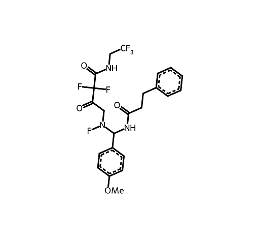 COc1ccc(C(NC(=O)CCc2ccccc2)N(F)CC(=O)C(F)(F)C(=O)NCC(F)(F)F)cc1